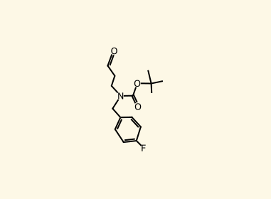 CC(C)(C)OC(=O)N(CCC=O)Cc1ccc(F)cc1